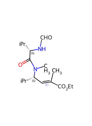 CCOC(=O)/C(C)=C/[C@H](C(C)C)N(C)C(=O)[C@@H](NC=O)C(C)C